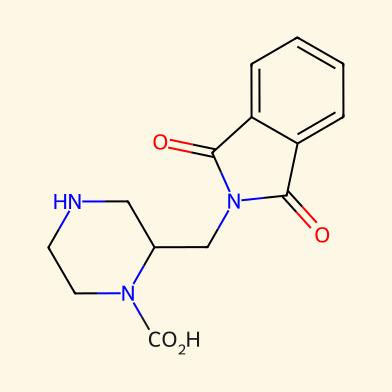 O=C1c2ccccc2C(=O)N1CC1CNCCN1C(=O)O